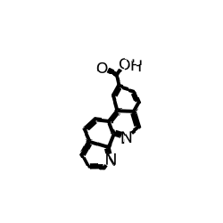 O=C(O)c1ccc2cnc3c(ccc4cccnc43)c2c1